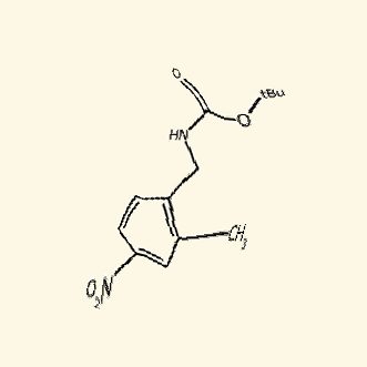 Cc1cc([N+](=O)[O-])ccc1CNC(=O)OC(C)(C)C